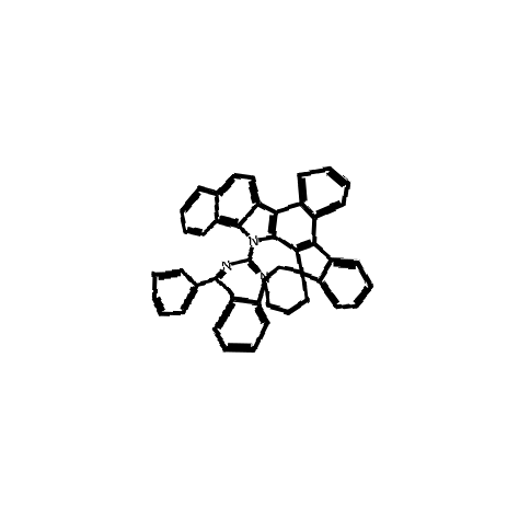 c1ccc(-c2nc(-n3c4c5c(c6ccccc6c4c4ccc6ccccc6c43)-c3ccccc3C53CCCCC3)nc3ccccc23)cc1